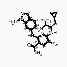 C[C@H](N)[C@@H](CC1CC1)Nc1nc(Nc2ccc3cnn(C)c3c2)c(C(N)=O)cc1F